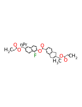 C=CC(=O)OC(C)C1=CCc2cc(C(=O)Oc3ccc4cc(C(CCC)OC(=O)C=C)ccc4c3F)ccc2C1